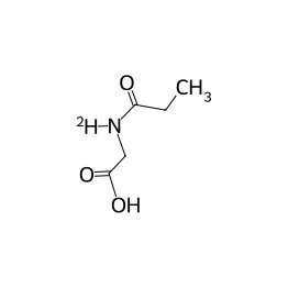 [2H]N(CC(=O)O)C(=O)CC